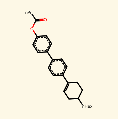 CCCCCCC1CC=C(c2ccc(-c3ccc(OC(=O)CCC)cc3)cc2)CC1